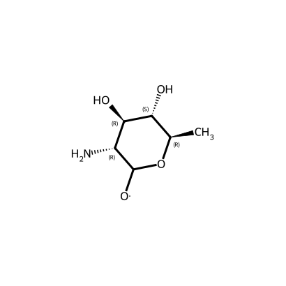 C[C@H]1OC([O])[C@H](N)[C@@H](O)[C@@H]1O